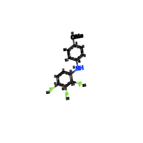 COc1ccc(Nc2ccc(F)c(F)c2F)cc1